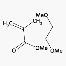 C=C(C)C(=O)OC.COCCOC